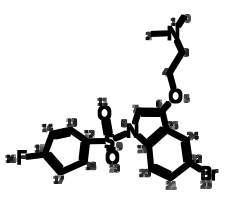 CN(C)CCOc1cn(S(=O)(=O)c2ccc(F)cc2)c2ccc(Br)cc12